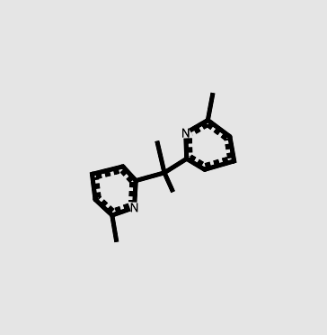 Cc1cccc(C(C)(C)c2cccc(C)n2)n1